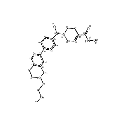 COCCN1CCc2ccc(-c3ccc([S+]([O-])N4CC=C(C(=O)NO)CC4)cc3)cc2C1